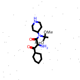 COC(C)(OC)N(C(=O)C(N)C(=O)C1CCCCC1)C1CCNCC1